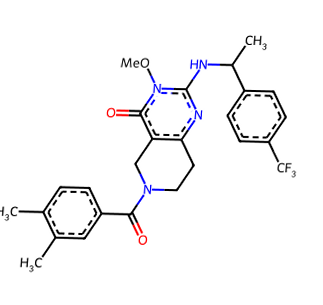 COn1c(NC(C)c2ccc(C(F)(F)F)cc2)nc2c(c1=O)CN(C(=O)c1ccc(C)c(C)c1)CC2